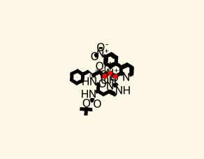 CC(C)(C)OC(=O)NC(Cc1c[nH]cn1)C(=O)N[C@@H](CC1CCCCC1)[C@@H](O)[C@@H](O)CCc1ncccc1-c1ccc([N+](=O)[O-])cc1[N+](=O)[O-]